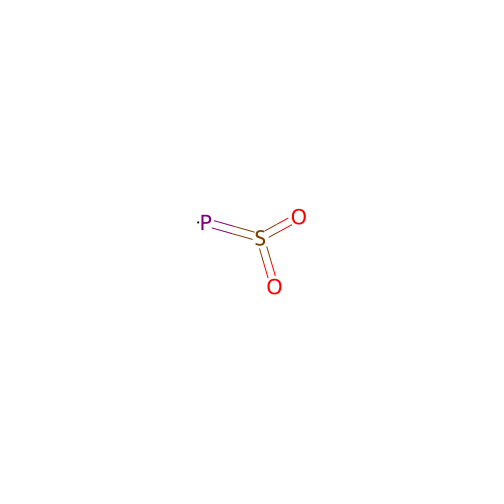 O=S(=O)=[P]